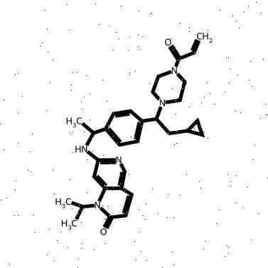 C=CC(=O)N1CCN(C(CC2CC2)c2ccc(C(C)Nc3cc4c(ccc(=O)n4C(C)C)cn3)cc2)CC1